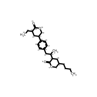 CCCCC1COC(=O)C(C(C)Cc2ccc(C3COC(=O)C(CC)C3)cc2)C1